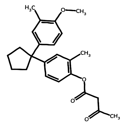 COc1ccc(C2(c3ccc(OC(=O)CC(C)=O)c(C)c3)CCCC2)cc1C